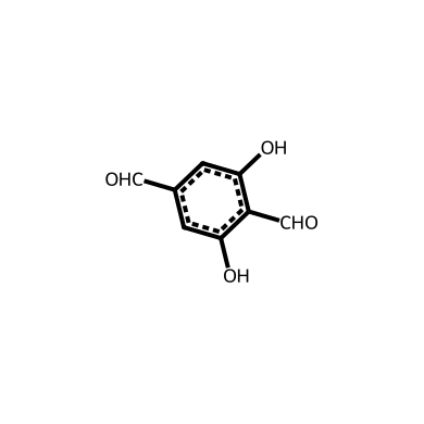 O=Cc1cc(O)c(C=O)c(O)c1